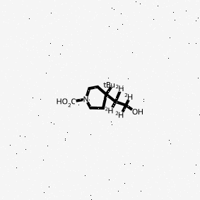 [2H]C([2H])(O)C([2H])([2H])C1(C(C)(C)C)CCN(C(=O)O)CC1